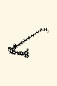 CCCCCCCCCCCCCCCCCCCCCCCC(=O)OCN1C(=O)CCc2ccc(CCN3CCN(c4cc(F)cc5sccc45)CC3)cc21